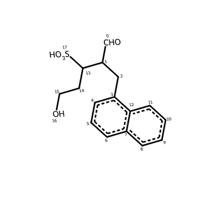 O=CC(Cc1cccc2ccccc12)C(CCO)S(=O)(=O)O